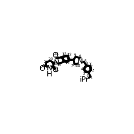 CC(C)Cc1ccc(CN2CCC(c3ccc4c(c3)CN(C3CCC(=O)NC3=O)C4=O)CC2)cc1